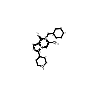 Cc1cn2c(C3CCOCC3)ncc2c(=O)n1CC1CCCCC1